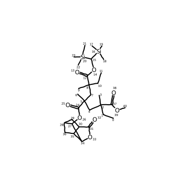 CCC(C)(CC(C)(CC(C)(CC)C(=O)OC([Si](C)(C)C)[Si](C)(C)C)C(=O)OC1C2CC3C(=O)OC1C3C2)C(=O)OC